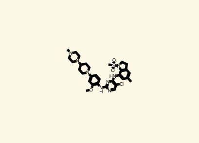 COc1cc(N2CCC(N3CCN(C)CC3)CC2)ccc1Nc1ncc(Cl)c(Nc2cc(C)cc3c2N(S(C)(=O)=O)CC3)n1